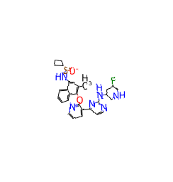 Cc1cc(N[S+]([O-])C2CCC2)c2ccccc2c1Oc1ncccc1-c1ccnc(NC2CNCC(F)C2)n1